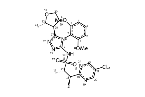 COc1cccc(OC)c1-n1c(NS(=O)(=O)[C@@H](C)[C@H](C)c2ncc(Cl)cn2)nnc1[C@@H]1CCO[C@H]1C